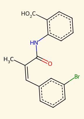 CC(=Cc1cccc(Br)c1)C(=O)Nc1ccccc1C(=O)O